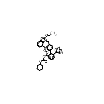 CCOc1nc2cccc(COOC(C)OC(=O)OC3CCCCC3)c2n1Cc1ccc(-c2ccccc2-c2nnn[nH]2)cc1